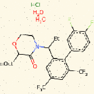 CCCCCCCCC1OCCN(C(CC)c2cc(C(F)(F)F)cc(C(F)(F)F)c2-c2ccc(F)c(F)c2)C1=O.Cl.O.O